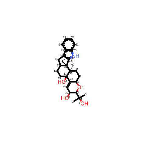 CC(C)(O)C1OC2CC[C@@]3(C)C(O)(CCC4Cc5c([nH]c6ccccc56)[C@@]43C)C2=CC1O